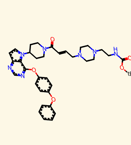 CC(C)(C)OC(=O)NCCN1CCN(CC=CC(=O)N2CCC(n3ccc4ncnc(Oc5ccc(Oc6ccccc6)cc5)c43)CC2)CC1